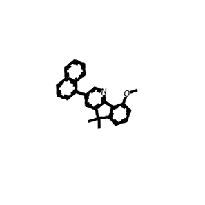 COc1cccc2c1-c1ncc(-c3cccc4ccccc34)cc1C2(C)C